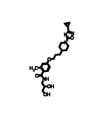 Cc1cc(OCCCC2CCN(c3nc(C4CC4)no3)CC2)ccc1C(=O)NCC(O)CO